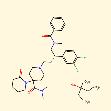 CN(C)C(=O)C1(N2CCCCC2=O)CCN(CC[C@H](CN(C)C(=O)c2ccccc2)c2ccc(Cl)c(Cl)c2)CC1.O=C(O)CC(O)(CC(=O)O)C(=O)O